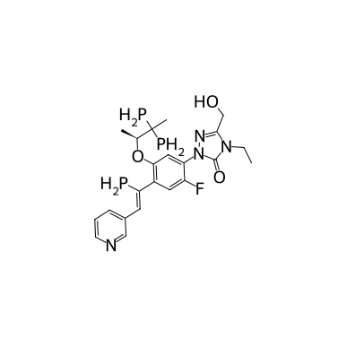 CCn1c(CO)nn(-c2cc(O[C@@H](C)C(C)(P)P)c(/C(P)=C/c3cccnc3)cc2F)c1=O